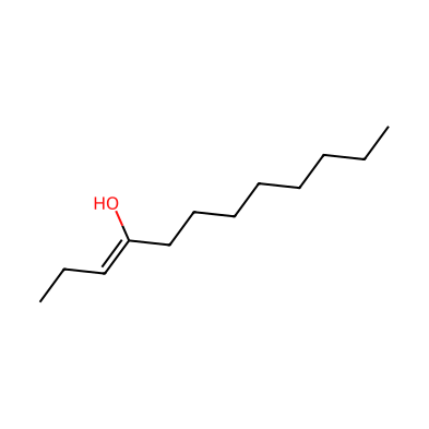 CCC=C(O)CCCCCCCC